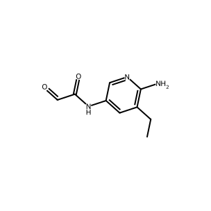 CCc1cc(NC(=O)C=O)cnc1N